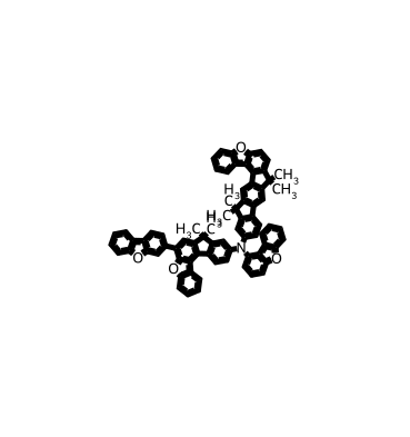 CC1(C)c2cc(N(c3ccc4c(c3)C(C)(C)c3cc(-c5ccc6c(c5)oc5ccccc56)c5oc6ccccc6c5c3-4)c3cccc4oc5ccccc5c34)ccc2-c2cc3c(cc21)-c1c(ccc2oc4ccccc4c12)C3(C)C